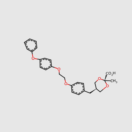 C[C@]1(C(=O)O)OC[C@@H](Cc2ccc(OCCOc3ccc(Oc4ccccc4)cc3)cc2)CO1